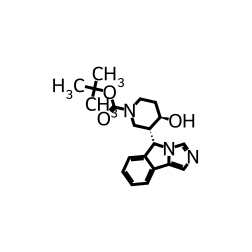 CC(C)(C)OC(=O)N1CC[C@@H](O)[C@H](C2c3ccccc3-c3cncn32)C1